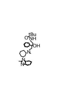 Cc1nc2ccccc2n1[C@@H]1CCCC[C@H](N(C)CCC(O)(CCNC(=O)C(C)(C)C)c2ccccc2)C1